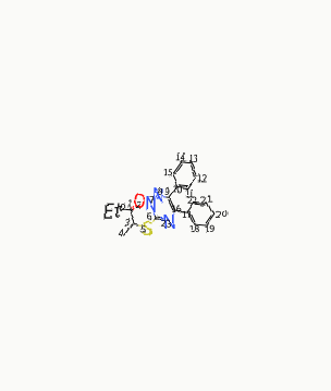 CCC(=O)C(C)Sc1nnc(-c2ccccc2)c(-c2ccccc2)n1